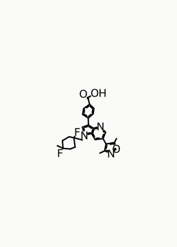 Cc1noc(C)c1-c1cnc2c(-c3ccc(C(=O)O)cc3)cn(CC3(F)CCC(C)(F)CC3)c2c1